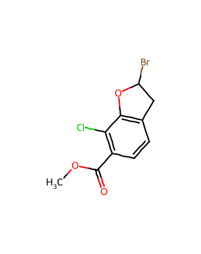 COC(=O)c1ccc2c(c1Cl)OC(Br)C2